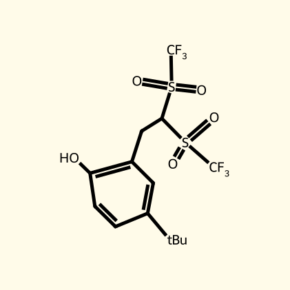 CC(C)(C)c1ccc(O)c(CC(S(=O)(=O)C(F)(F)F)S(=O)(=O)C(F)(F)F)c1